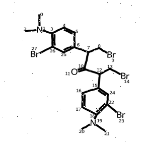 CN(C)c1ccc(C(CBr)C(=O)C(CBr)c2ccc(N(C)C)c(Br)c2)cc1Br